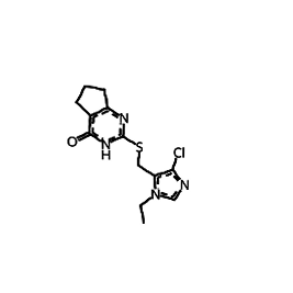 CCn1cnc(Cl)c1CSc1nc2c(c(=O)[nH]1)CCC2